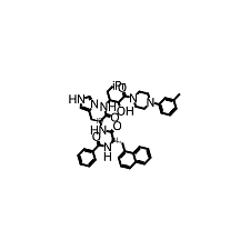 Cc1cccc(N2CCN(C(=O)C(O)C(CC(C)C)NC(=O)[C@H](Cc3c[nH]cn3)NC(=O)[C@H](Cc3cccc4ccccc34)NC(=O)c3ccccc3)CC2)c1